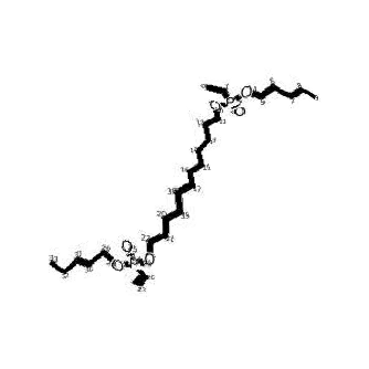 C=CP(=O)(OCCCCC)OCCCCCCCCCCCCOP(=O)(C=C)OCCCCC